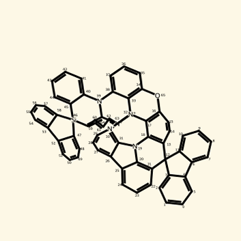 c1ccc2c(c1)-c1ccccc1C21c2ccc3c4c2-n2c5c1cccc5c1ccc[n+](c12)[N+]41c2c(cccc2N2c4ccccc4[Si]4(c5ccccc5-c5ccccc54)c4ccc[n+]1c42)O3